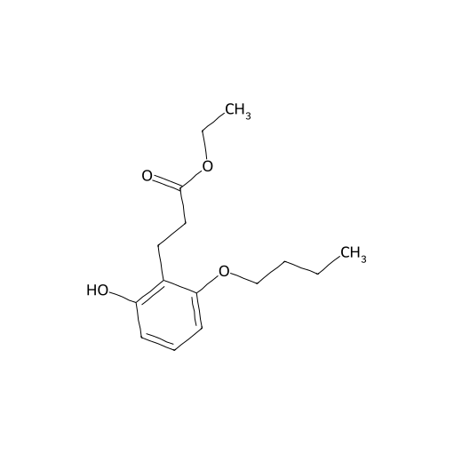 CCCCOc1cccc(O)c1CCC(=O)OCC